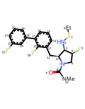 CCSN[C@H]1[C@@H](F)CN(C(=O)NC)[C@H]1Cc1cccc(-c2cccc(F)c2)c1F